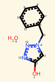 O.Oc1cn(Cc2ccccc2)nn1